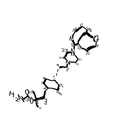 CC(C)(C[C@H]1CC[C@H](CCN2CCN(c3nccc4occc34)CC2)CC1)OC(N)=O